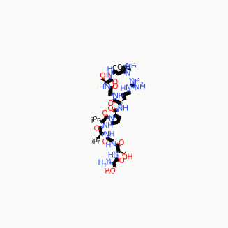 CC(C)C[C@H](NC(=O)CNC(=O)[C@H](CO)NC(=O)[C@@H](N)CO)C(=O)N[C@H](C(=O)N1CCC[C@H]1C(=O)N[C@@H](CCCNC(=N)N)C(=O)NCC(=O)N[C@@H](CO)C(=O)N[C@@H](Cc1c[nH]cn1)C(=O)O)C(C)C